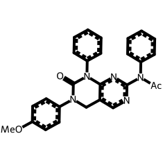 COc1ccc(N2Cc3cnc(N(C(C)=O)c4ccccc4)nc3N(c3ccccc3)C2=O)cc1